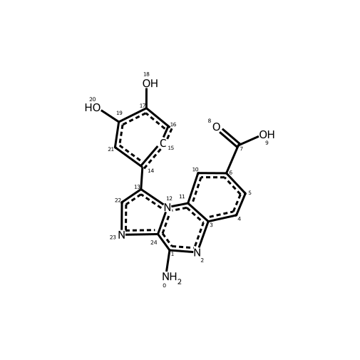 Nc1nc2ccc(C(=O)O)cc2n2c(-c3ccc(O)c(O)c3)cnc12